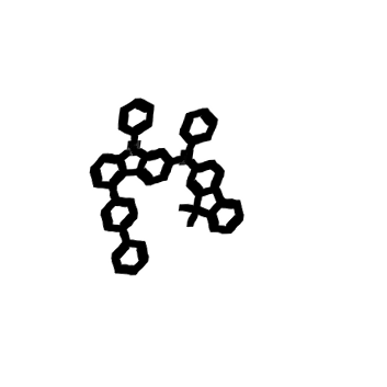 CC1(C)c2ccccc2-c2ccc(N(c3ccccc3)c3ccc4c5c(-c6ccc(-c7ccccc7)cc6)cccc5n(-c5ccccc5)c4c3)cc21